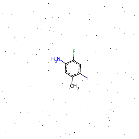 Cc1cc(N)c(F)cc1I